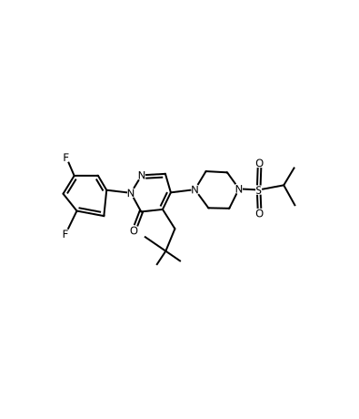 CC(C)S(=O)(=O)N1CCN(c2cnn(-c3cc(F)cc(F)c3)c(=O)c2CC(C)(C)C)CC1